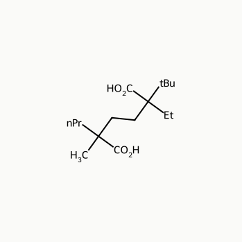 CCCC(C)(CCC(CC)(C(=O)O)C(C)(C)C)C(=O)O